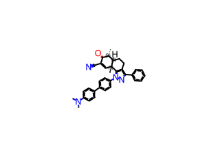 C[C@H]1C(=O)C(C#N)=C[C@@]2(C)c3c(c(-c4ccccc4)nn3-c3ccc(-c4ccc(N(C)C)cc4)cc3)CC[C@H]12